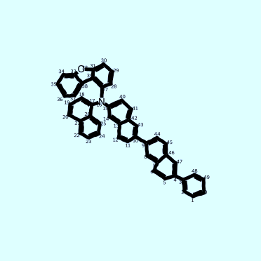 c1ccc(-c2ccc3cc(-c4ccc5cc(N(c6cccc7ccccc67)c6cccc7oc8ccccc8c67)ccc5c4)ccc3c2)cc1